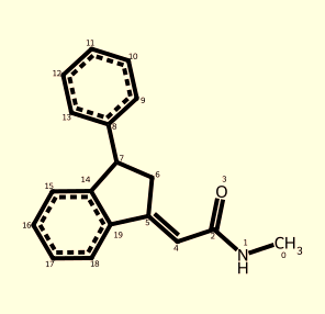 CNC(=O)C=C1CC(c2ccccc2)c2ccccc21